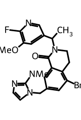 CNc1nccn1Cc1cc(Br)c2c(c1)C(=O)N(C(C)c1cnc(F)c(OC)c1)CC2